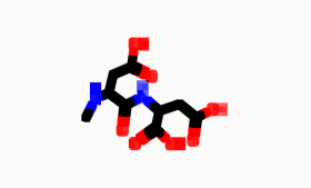 CNC(CC(=O)O)C(=O)NC(CC(=O)O)C(=O)O